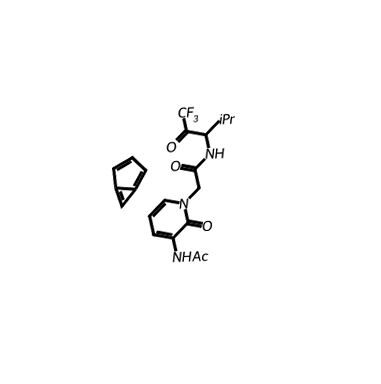 CC(=O)Nc1cccn(CC(=O)NC(C(=O)C(F)(F)F)C(C)C)c1=O.c1cc2cc-2c1